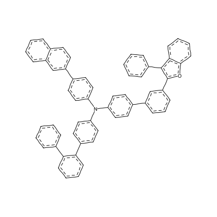 c1ccc(-c2ccccc2-c2ccc(N(c3ccc(-c4cccc(-c5oc6ccccc6c5-c5ccccc5)c4)cc3)c3ccc(-c4ccc5ccccc5c4)cc3)cc2)cc1